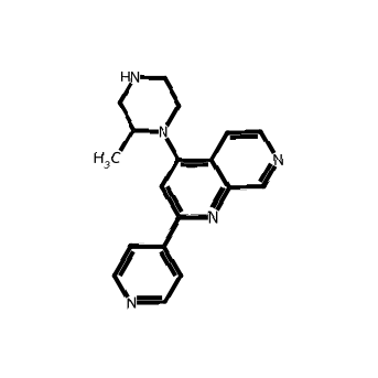 CC1CNCCN1c1cc(-c2ccncc2)nc2cnccc12